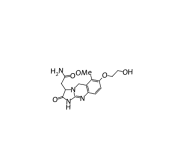 COc1c(OCCO)ccc2c1CN1C(=N2)NC(=O)C1CC(N)=O